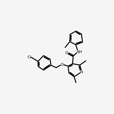 Cc1cc(OCc2ccc(Cl)cc2)c(C(=O)Nc2ccccc2C)c(C)n1